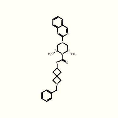 C[C@@H]1CN(c2ncc3ccccc3n2)C[C@H](C)N1C(=O)OC1CC2(C1)CN(Cc1ccccc1)C2